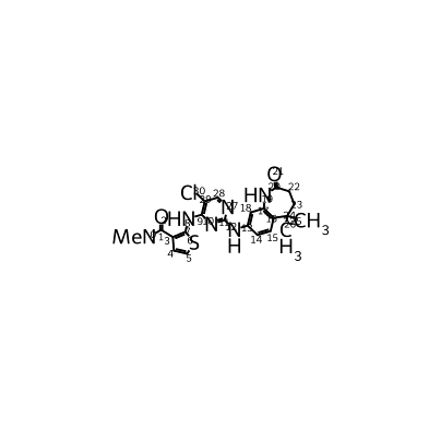 CNC(=O)c1ccsc1Nc1nc(Nc2ccc3c(c2)NC(=O)CCC3(C)C)ncc1Cl